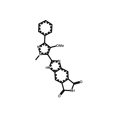 COc1c(-c2ccccc2)nn(C)c1-c1nc2cc3c(cc2[nH]1)C(=O)NC3=O